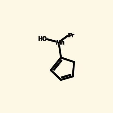 C[CH](C)[Mn]([OH])[C]1=CC=CC1